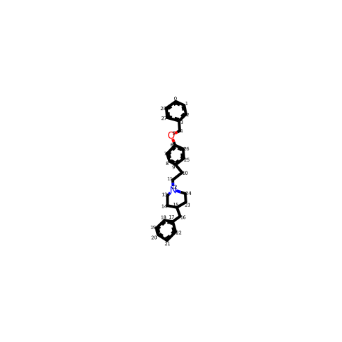 c1ccc(COc2ccc(CCN3CCC(Cc4ccccc4)CC3)cc2)cc1